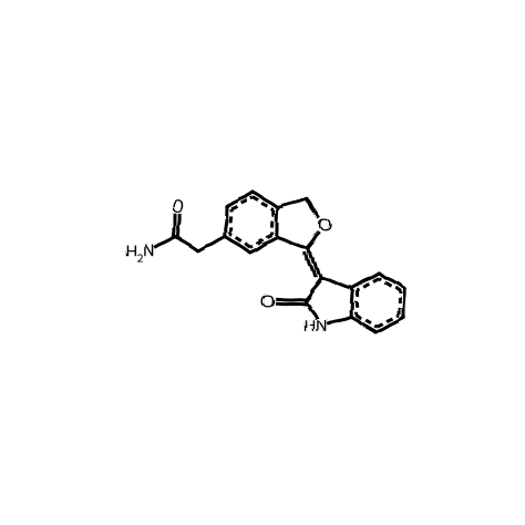 NC(=O)Cc1ccc2c(c1)C(=C1C(=O)Nc3ccccc31)OC2